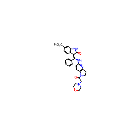 O=C1Nc2cc(C(=O)O)ccc2/C1=C(/Nc1ccc2c(n1)CCN2C(=O)CN1CCOCC1)c1ccccc1